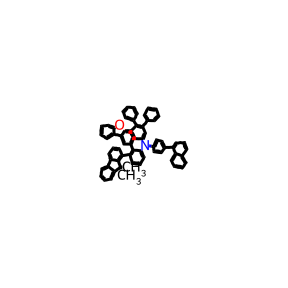 CC1(C)c2ccccc2-c2cccc(-c3cccc(N(c4ccc(-c5cccc6ccccc56)cc4)c4ccc(-c5ccccc5)c(-c5ccccc5)c4)c3-c3ccc4oc5ccccc5c4c3)c21